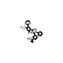 N=C1C=CC(C2(O)CC2)=C/C1=C(\NC(=O)c1cc(-c2ncccn2)c(C(F)(F)F)cc1F)Nc1ccccc1